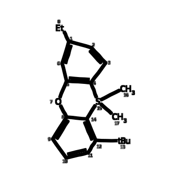 CCc1ccc2c(c1)Oc1cccc(C(C)(C)C)c1S2(C)C